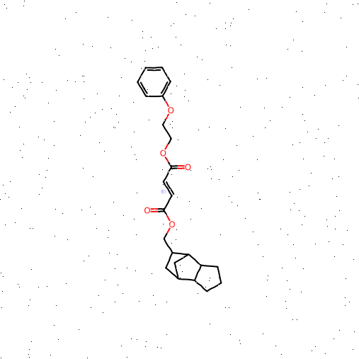 O=C(/C=C/C(=O)OCC1CC2CC1C1CCCC21)OCCOc1ccccc1